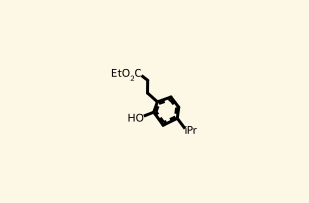 CCOC(=O)CCc1ccc(C(C)C)cc1O